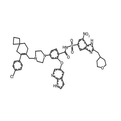 O=C(NS(=O)(=O)c1cc([N+](=O)[O-])c2[nH]c(CC3CCOCC3)nc2c1)c1ccc(N2CCN(CC3=C(c4ccc(Cl)cc4)CC4(CCC4)CC3)CC2)cc1Oc1cnc2[nH]ccc2c1